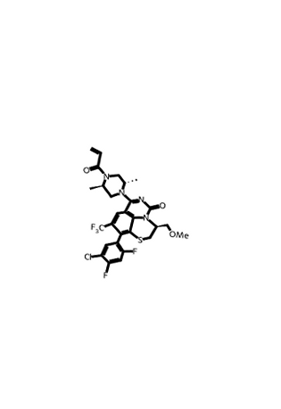 C=CC(=O)N1C[C@H](C)N(c2nc(=O)n3c4c(c(-c5cc(Cl)c(F)cc5F)c(C(F)(F)F)cc24)SC[C@@H]3COC)C[C@H]1C